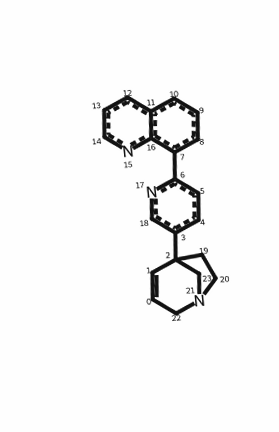 C1=CC2(c3ccc(-c4cccc5cccnc45)nc3)CCN(C1)C2